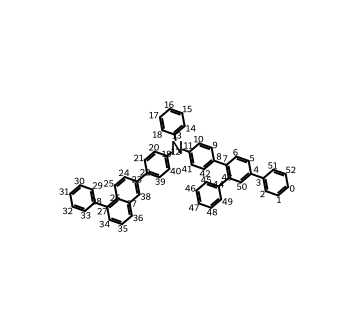 c1ccc(-c2ccc(-c3ccc(N(c4ccccc4)c4ccc(-c5ccc6c(-c7ccccc7)cccc6c5)cc4)cc3)c(-c3ccccc3)c2)cc1